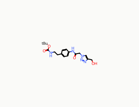 CC(C)(C)OC(=O)NCCc1ccc(NC(=O)Cn2cc(CO)nn2)cc1